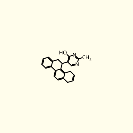 Cc1ncc(C2Cc3ccccc3-c3ccc4c(c32)CC=CC4)c(O)n1